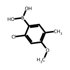 COc1cc(Cl)c(B(O)O)cc1C